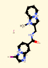 C[n+]1c(CNC(=O)c2ccn3c(I)cnc3c2)cn2ccccc21.[I-]